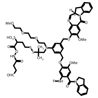 COCCOCCOCCN(CC(C)(C)SSCCC(C(=O)ONC(=O)CCC=O)S(=O)(=O)O)c1cc(COc2cc3c(cc2OC)C(=O)N2c4ccccc4C[C@H]2C=N3)cc(COc2cc(NF)c(C(=O)N3CCc4ccccc43)cc2OC)c1